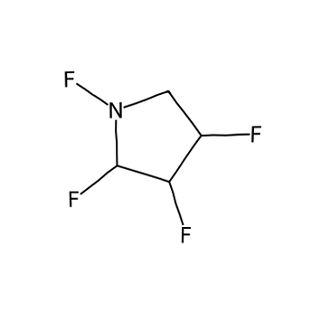 FC1CN(F)C(F)C1F